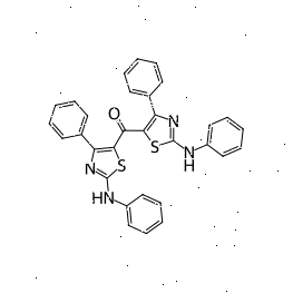 O=C(c1sc(Nc2ccccc2)nc1-c1ccccc1)c1sc(Nc2ccccc2)nc1-c1ccccc1